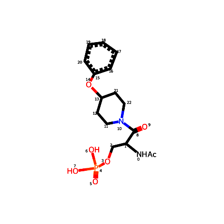 CC(=O)NC(COP(=O)(O)O)C(=O)N1CCC(Oc2ccccc2)CC1